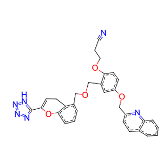 N#CCCOc1ccc(OCc2ccc3ccccc3n2)cc1COCc1cccc2c1CC=C(c1nnn[nH]1)O2